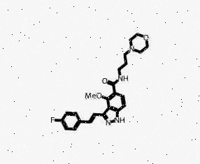 COc1c(C(=O)NCCCN2CCOCC2)ccc2[nH]nc(/C=C/c3ccc(F)cc3)c12